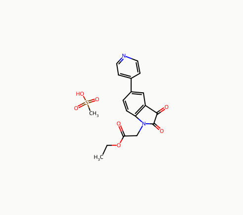 CCOC(=O)CN1C(=O)C(=O)c2cc(-c3ccncc3)ccc21.CS(=O)(=O)O